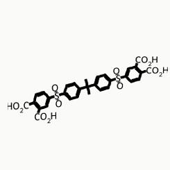 CC(C)(c1ccc(S(=O)(=O)c2ccc(C(=O)O)c(C(=O)O)c2)cc1)c1ccc(S(=O)(=O)c2ccc(C(=O)O)c(C(=O)O)c2)cc1